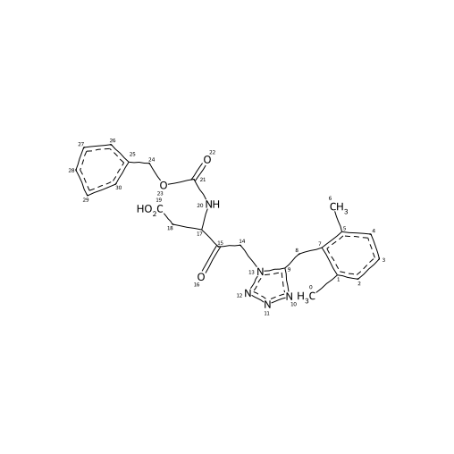 Cc1cccc(C)c1Cc1nnnn1CC(=O)C(CC(=O)O)NC(=O)OCc1ccccc1